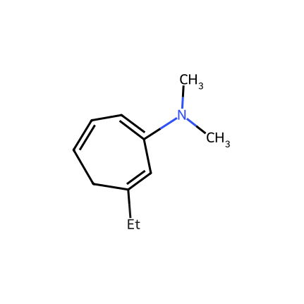 CCC1=CC(N(C)C)=CC=CC1